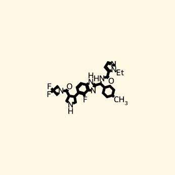 CCn1nccc1C(=O)N[C@H](c1nc2c(F)c(C3CNCC3C(=O)N3CC(F)(F)C3)ccc2[nH]1)C1CCC(C)CC1